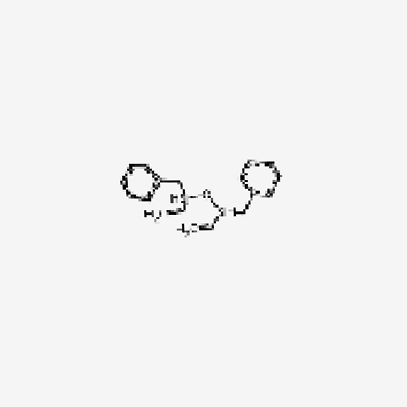 C=C[SiH](Cc1ccccc1)O[SiH](C=C)Cc1ccccc1